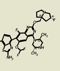 C[C@@H]1CN(c2nc(OC[C@@]34CCCN3C[C@H](F)C4)nc3c(F)c(-c4ccc(F)c5sc(N)nc45)c(OC(F)F)cc23)[C@@H](C)CN1